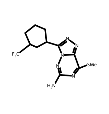 CSc1nc(N)nn2c(C3CCCC(C(F)(F)F)C3)nnc12